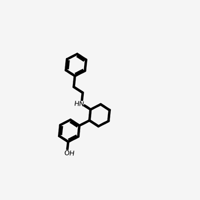 Oc1cccc(C2CCCCC2NCCc2ccccc2)c1